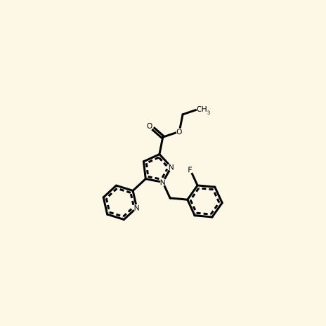 CCOC(=O)c1cc(-c2ccccn2)n(Cc2ccccc2F)n1